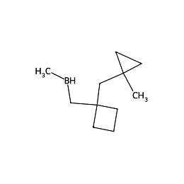 CBCC1(CC2(C)CC2)CCC1